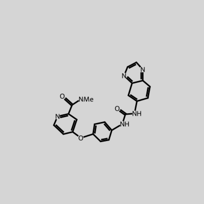 CNC(=O)c1cc(Oc2ccc(NC(=O)Nc3ccc4nccnc4c3)cc2)ccn1